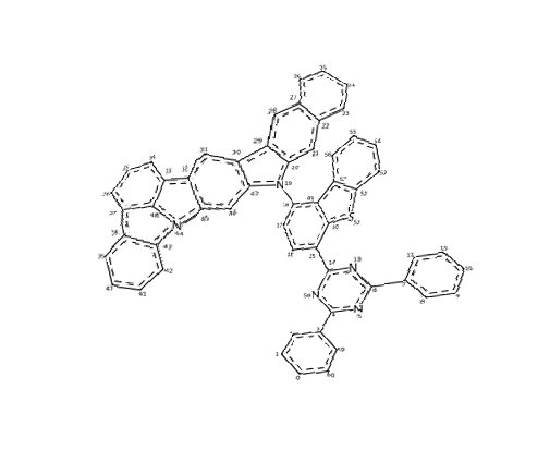 c1ccc(-c2nc(-c3ccccc3)nc(-c3ccc(-n4c5cc6ccccc6cc5c5cc6c7cccc8c9ccccc9n(c6cc54)c87)c4c3sc3ccccc34)n2)cc1